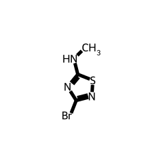 CNc1nc(Br)ns1